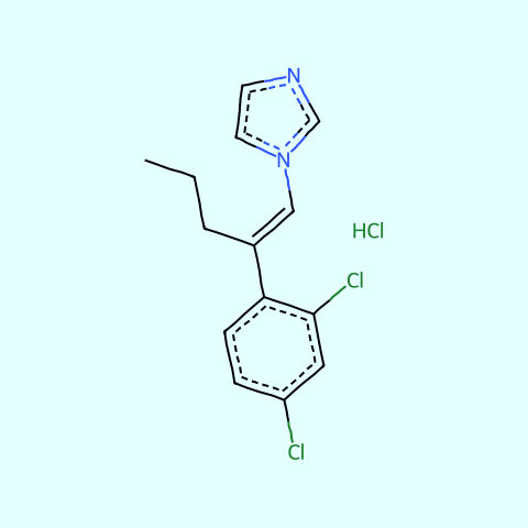 CCC/C(=C\n1ccnc1)c1ccc(Cl)cc1Cl.Cl